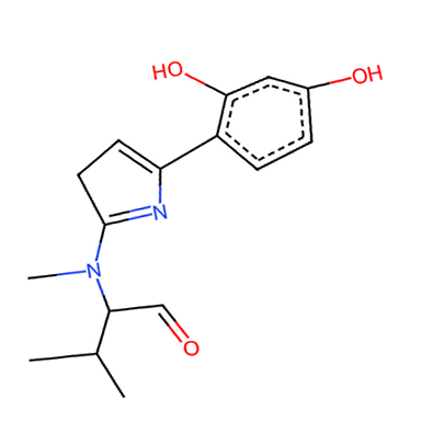 CC(C)C(C=O)N(C)C1=NC(c2ccc(O)cc2O)=CC1